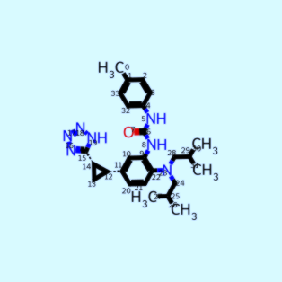 Cc1ccc(NC(=O)Nc2cc([C@@H]3C[C@@H]3c3nnn[nH]3)ccc2N(CC(C)C)CC(C)C)cc1